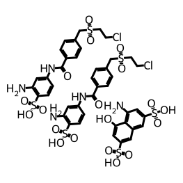 Nc1cc(NC(=O)c2ccc(CS(=O)(=O)CCCl)cc2)ccc1S(=O)(=O)O.Nc1cc(NC(=O)c2ccc(CS(=O)(=O)CCCl)cc2)ccc1S(=O)(=O)O.Nc1cc(S(=O)(=O)O)cc2cc(S(=O)(=O)O)cc(O)c12